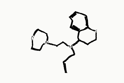 C=CCN(CCN1CCOCC1)C1CCSc2ccccc21